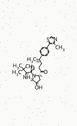 Cc1ncsc1-c1ccc([C@H](C)CCC(=O)[C@@H]2C[C@@H](O)CN2C(=O)[C@@H](N)C(C)(C)C)cc1